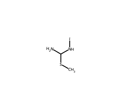 CSC(N)NI